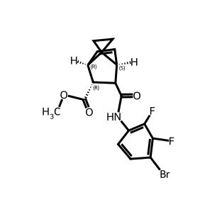 COC(=O)[C@H]1C(C(=O)Nc2ccc(Br)c(F)c2F)[C@@H]2C=C[C@H]1C21CC1